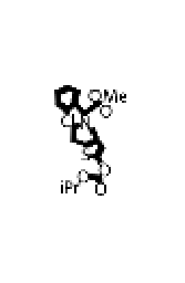 COC(=O)C(c1ccccc1Cl)N1CCc2sc(OC(=O)OC(C)C)cc2C1